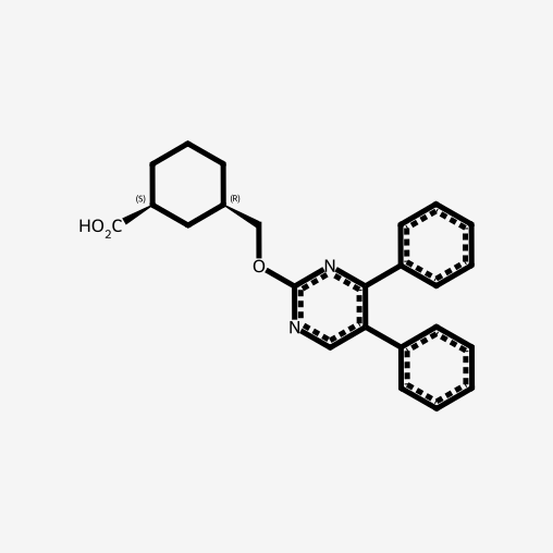 O=C(O)[C@H]1CCC[C@@H](COc2ncc(-c3ccccc3)c(-c3ccccc3)n2)C1